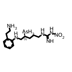 N=C(NCCC[C@H]([AsH2])CNc1ccccc1CCN)N[N+](=O)[O-]